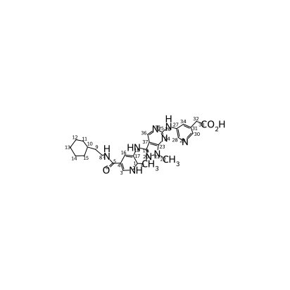 CC1NC=C(C(=O)NCCC2CCCCC2)C=C1Nc1nn(C)c2nc(Nc3cncc(CC(=O)O)c3)ncc12